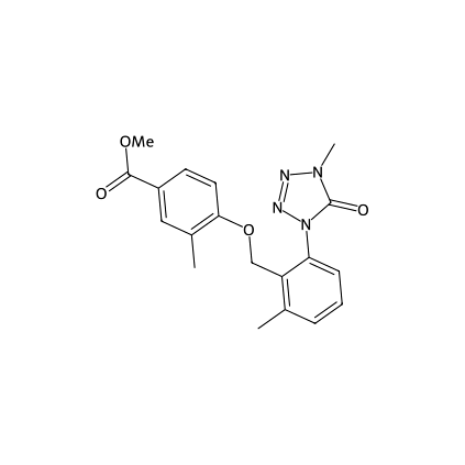 COC(=O)c1ccc(OCc2c(C)cccc2-n2nnn(C)c2=O)c(C)c1